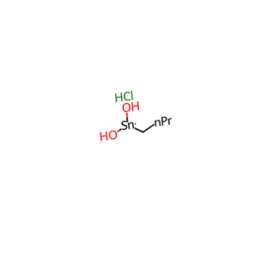 CCC[CH2][Sn]([OH])[OH].Cl